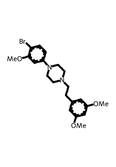 COc1cc(CCN2CCN(c3ccc(Br)c(OC)c3)CC2)cc(OC)c1